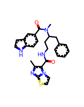 Cc1nc2sccn2c1C(=O)NCCC(Cc1ccccc1)N(C)C(=O)c1ccc2[nH]ccc2c1